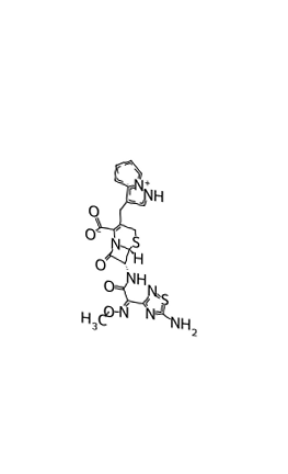 CO/N=C(\C(=O)N[C@@H]1C(=O)N2C(C(=O)[O-])=C(Cc3c[nH][n+]4ccccc34)CS[C@H]12)c1nsc(N)n1